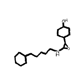 OC1CCC(C2OC2NCCCCCC2CCCCC2)CC1